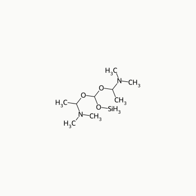 CC(OC(O[SiH3])OC(C)N(C)C)N(C)C